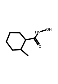 CC1CCCCC1C(=O)NO